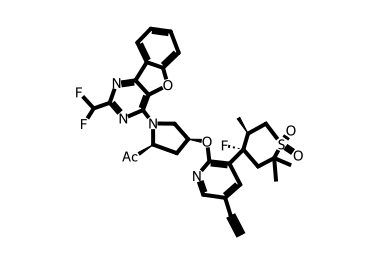 C#Cc1cnc(O[C@H]2C[C@@H](C(C)=O)N(c3nc(C(F)F)nc4c3oc3ccccc34)C2)c([C@]2(F)CC(C)(C)S(=O)(=O)C[C@@H]2C)c1